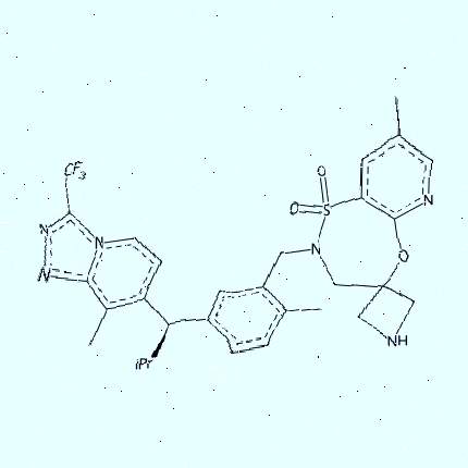 Cc1cnc2c(c1)S(=O)(=O)N(Cc1cc([C@H](c3ccn4c(C(F)(F)F)nnc4c3C)C(C)C)ccc1C)CC1(CNC1)O2